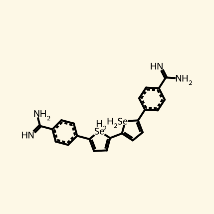 N=C(N)c1ccc(C2=CC=C(C3=CC=C(c4ccc(C(=N)N)cc4)[SeH2]3)[SeH2]2)cc1